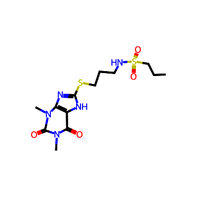 CCCS(=O)(=O)NCCCSc1nc2c([nH]1)c(=O)n(C)c(=O)n2C